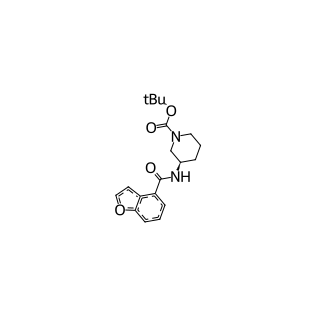 CC(C)(C)OC(=O)N1CCC[C@@H](NC(=O)c2cccc3occc23)C1